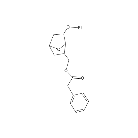 CCOC1CC2CC(COC(=O)Cc3ccccc3)C1O2